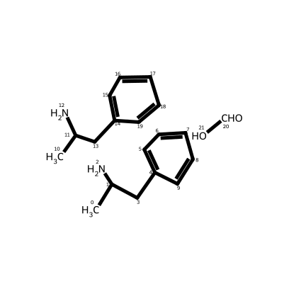 CC(N)Cc1ccccc1.CC(N)Cc1ccccc1.O=CO